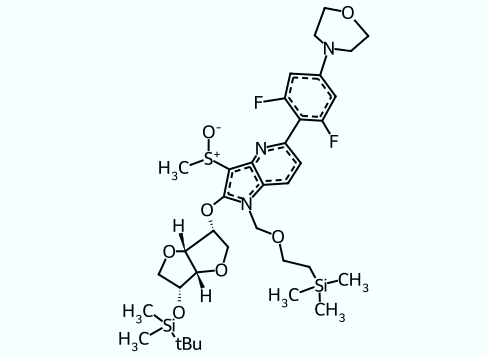 C[S+]([O-])c1c(O[C@@H]2CO[C@H]3[C@@H]2OC[C@H]3O[Si](C)(C)C(C)(C)C)n(COCC[Si](C)(C)C)c2ccc(-c3c(F)cc(N4CCOCC4)cc3F)nc12